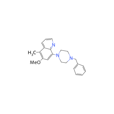 COc1cc(N2CCN(Cc3ccccc3)CC2)c2ncccc2c1C